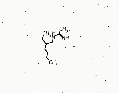 CCCCC(CC)CNC(C)=N